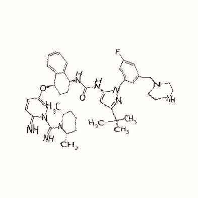 C[C@@H]1CCC[C@H](C)N1C(=N)n1cc(O[C@@H]2CC[C@H](NC(=O)Nc3cc(C(C)(C)C)nn3-c3cc(F)cc(CN4CCNCC4)c3)c3ccccc32)ccc1=N